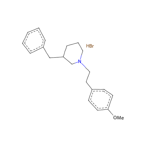 Br.COc1ccc(CCN2CCCC(Cc3ccccc3)C2)cc1